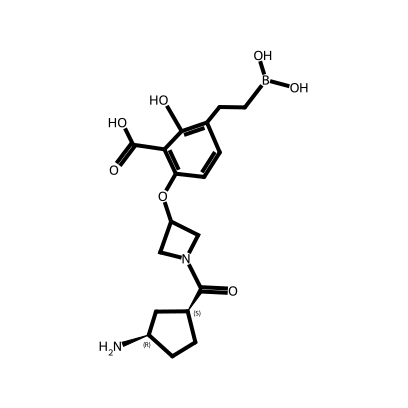 N[C@@H]1CC[C@H](C(=O)N2CC(Oc3ccc(CCB(O)O)c(O)c3C(=O)O)C2)C1